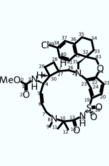 COC(=O)N[C@@H]1C=CCN(C)C(C)(C)C(=O)NS(=O)(=O)c2ccc3c(c2)N(C[C@@H]2CC[C@H]21)C[C@@]1(CCCc2cc(Cl)ccc21)CO3